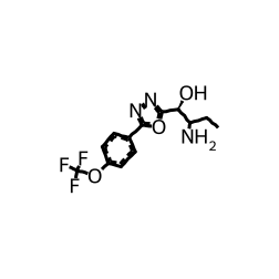 CCC(N)[C@H](O)c1nnc(-c2ccc(OC(F)(F)F)cc2)o1